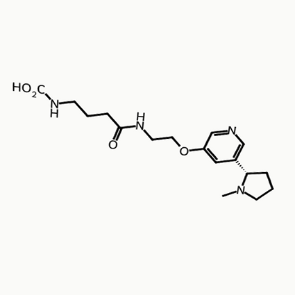 CN1CCC[C@H]1c1cncc(OCCNC(=O)CCCNC(=O)O)c1